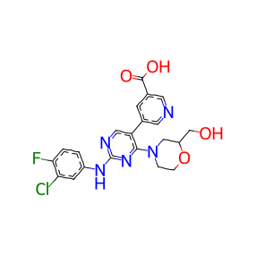 O=C(O)c1cncc(-c2cnc(Nc3ccc(F)c(Cl)c3)nc2N2CCOC(CO)C2)c1